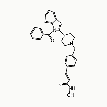 O=C(/C=C/c1ccc(CN2CCN(c3nc4ccccc4n3C(=O)c3ccccc3)CC2)cc1)NO